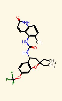 CCC1(CC)C[C@@H](NC(=O)Nc2c(C)ccc3[nH]c(=O)ccc23)c2ccc(OC(F)(F)F)cc2O1